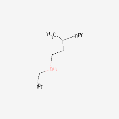 CCCC(C)CCBCC(C)C